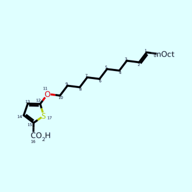 CCCCCCCCC=CCCCCCCCCOc1ccc(C(=O)O)s1